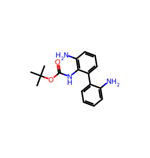 CC(C)(C)OC(=O)Nc1c(N)cccc1-c1ccccc1N